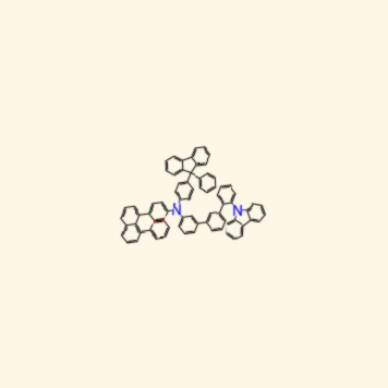 c1ccc(-c2cccc3cccc(-c4ccc(N(c5ccc(C6(c7ccccc7)c7ccccc7-c7ccccc76)cc5)c5cccc(-c6cccc(-c7ccccc7-n7c8ccccc8c8ccccc87)c6)c5)cc4)c23)cc1